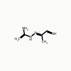 C=C(N)N/N=C(\C)C=N